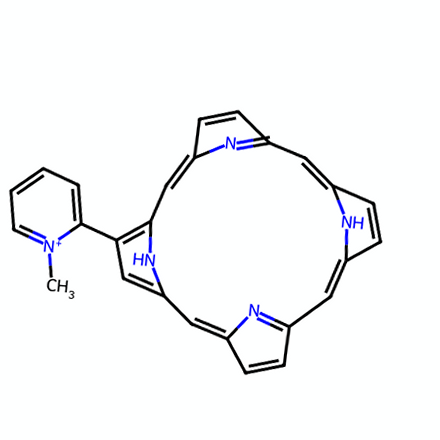 C[n+]1ccccc1-c1cc2cc3nc(cc4ccc(cc5nc(cc1[nH]2)C=C5)[nH]4)C=C3